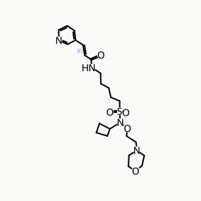 O=C(/C=C/c1cccnc1)NCCCCCS(=O)(=O)N(OCCN1CCOCC1)C1CCC1